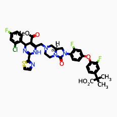 COC(=O)C1=C(CN2CCN3C(=O)N(c4ccc(Oc5ccc(C(C)(C)C(=O)O)cc5F)cc4F)C[C@@H]3C2)NC(c2nccs2)=NC1c1ccc(F)cc1Cl